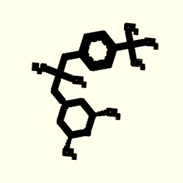 C[C@@H]1CN(C[Si](C)(C)Cc2ccc(C(C)(C)C)cc2)C[C@H](C)O1